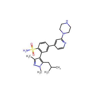 Cc1nn(C)c(CC(C)C)c1-c1cc(-c2ccnc(N3CCNCC3)c2)ccc1S(N)(=O)=O